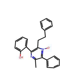 Cc1nc(-c2ccccc2O)c(CCc2ccccc2)[n+]([O-])c1-c1ccccc1